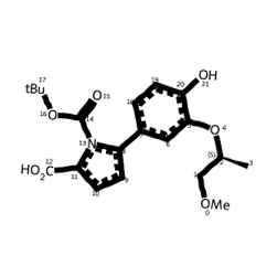 COC[C@H](C)Oc1cc(-c2ccc(C(=O)O)n2C(=O)OC(C)(C)C)ccc1O